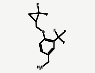 CCc1ccc(OCC2CC2(F)F)c(C(F)(F)F)c1